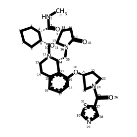 CNC(=O)[C@H]1CCCC[C@H]1C(=O)N1CCc2cccc(O[C@H]3CCN(C(=O)c4cncs4)C3)c2[C@H]1CN1CCCC1=O